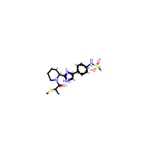 CSC(C)C(=O)N1CCCCC1c1nc(-c2ccc(NS(C)(=O)=O)cc2)c[nH]1